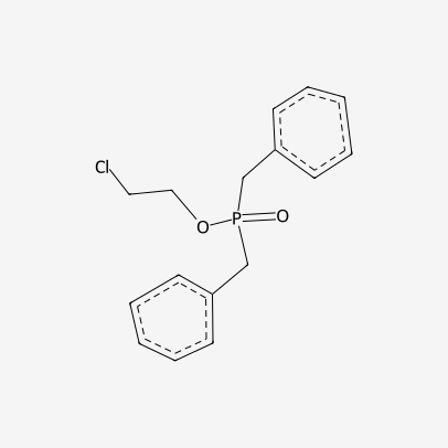 O=P(Cc1ccccc1)(Cc1ccccc1)OCCCl